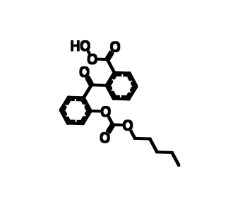 CCCCCOC(=O)Oc1ccccc1C(=O)c1ccccc1C(=O)OO